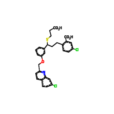 O=C(O)CCSC(CCc1ccc(Cl)cc1C(=O)O)c1cccc(OCc2ccc3ccc(Cl)cc3n2)c1